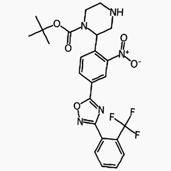 CC(C)(C)OC(=O)N1CCNCC1c1ccc(-c2nc(-c3ccccc3C(F)(F)F)no2)cc1[N+](=O)[O-]